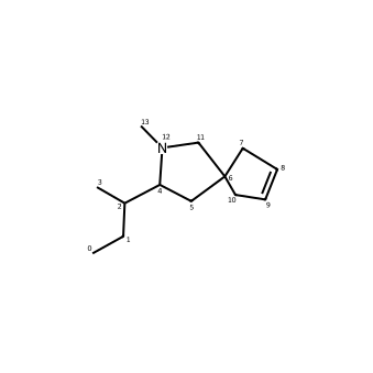 CCC(C)C1CC2(CC=CC2)CN1C